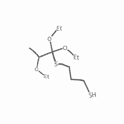 CCOC(C)C(OCC)(OCC)SCCCS